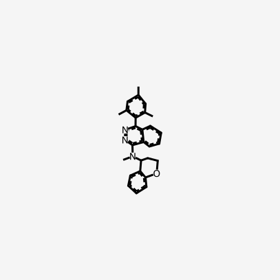 Cc1cc(C)c(-c2nnc(N(C)C3CCOc4ccccc43)c3ccccc23)c(C)c1